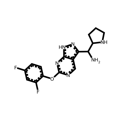 NC(c1n[nH]c2nc(Oc3ccc(F)cc3F)ncc12)C1CCCN1